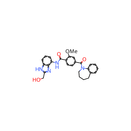 COc1cc(C(=O)N2CCCCc3ccccc32)ccc1C(=O)Nc1cccc2[nH]c(CO)nc12